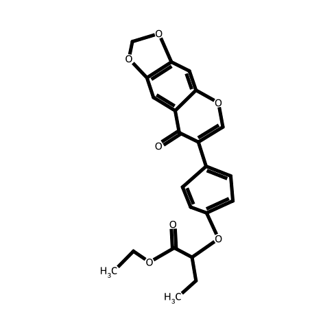 CCOC(=O)C(CC)Oc1ccc(-c2coc3cc4c(cc3c2=O)OCO4)cc1